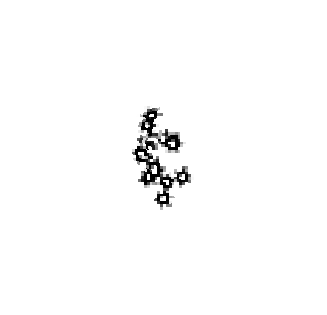 c1ccc(-c2cc(-c3ccccc3)cc(-c3cc4oc5c(C6=NC(c7ccccc7)NC(c7ccc8ccccc8c7)N6)cccc5c4c4ccccc34)c2)cc1